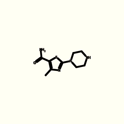 Cc1nc(N2CCNCC2)sc1C(N)=O